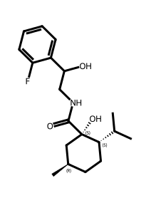 CC(C)[C@@H]1CC[C@@H](C)C[C@@]1(O)C(=O)NCC(O)c1ccccc1F